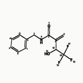 C=C(C(=O)NCc1ccccc1)C(O)C(F)(F)F